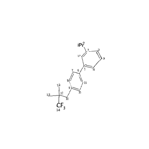 CC(C)c1cccc(-c2ccc(CC(C)(C)C(F)(F)F)cc2)c1